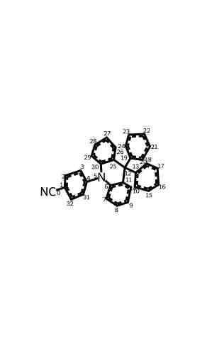 N#Cc1ccc(N2c3ccccc3C(c3ccccc3)(c3ccccc3)c3ccccc32)cc1